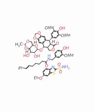 CCOc1ccc2nc(S(N)(=O)=O)sc2c1.COc1cc(CNC(=O)CCCC/C=C/C(C)C)ccc1O.COc1cc([C@@H]2c3cc4c(cc3C(O[C@@H]3O[C@@H]5CO[C@@H](C)O[C@H]5[C@H](O)[C@H]3O)C3COC(=O)[C@@H]32)OCO4)cc(OC)c1O